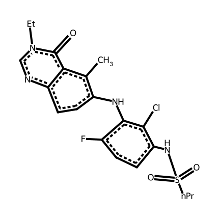 CCCS(=O)(=O)Nc1ccc(F)c(Nc2ccc3ncn(CC)c(=O)c3c2C)c1Cl